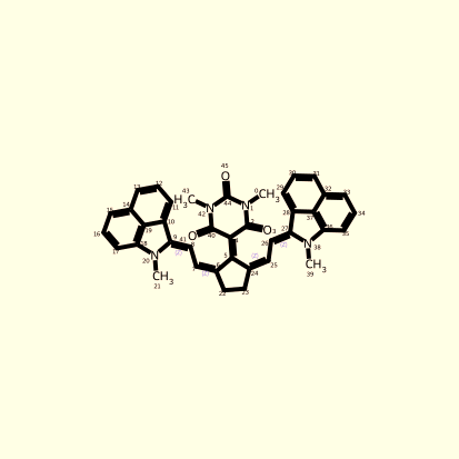 CN1C(=O)C(=C2/C(=C\C=c3\c4cccc5cccc(c54)n3C)CC/C2=C/C=c2/c3cccc4cccc(c43)n2C)C(=O)N(C)C1=O